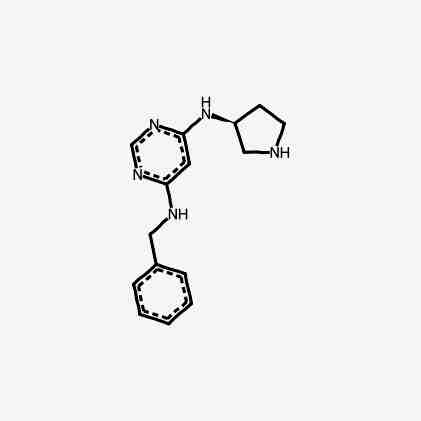 c1ccc(CNc2cc(N[C@H]3CCNC3)ncn2)cc1